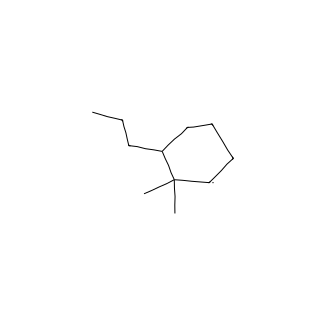 CCCC1CCC[CH]C1(C)C